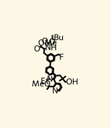 CCn1c(-c2cccnc2[C@H](C)OC)c(CC(C)(C)CO)c2cc(-c3cc(CF)cc(CC(NC(=O)OC(C)(C)C)C(=O)OC)c3)ccc21